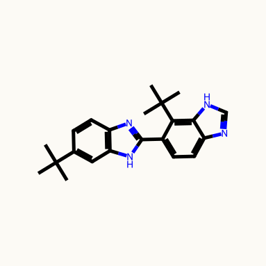 CC(C)(C)c1ccc2nc(-c3ccc4nc[nH]c4c3C(C)(C)C)[nH]c2c1